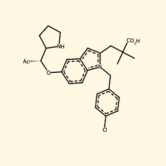 CC(=O)[C@@H](Oc1ccc2c(c1)cc(CC(C)(C)C(=O)O)n2Cc1ccc(Cl)cc1)C1CCCN1